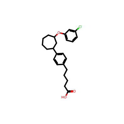 O=C(O)CCCCc1ccc(C2CCCCC(Oc3cccc(Cl)c3)C2)cc1